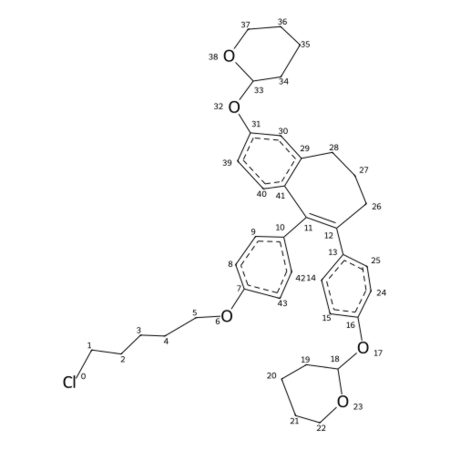 ClCCCCCOc1ccc(C2=C(c3ccc(OC4CCCCO4)cc3)CCCc3cc(OC4CCCCO4)ccc32)cc1